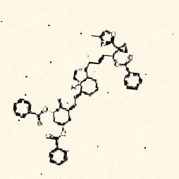 C=C1/C(=C\C=C2/CCC[C@]3(C)[C@@H]([C@H](C)/C=C/[C@H](OC(=O)c4ccccc4)C4(c5nc(C)co5)CC4)CC[C@@H]23)C[C@@H](OC(=O)c2ccccc2)C[C@@H]1OC(=O)c1ccccc1